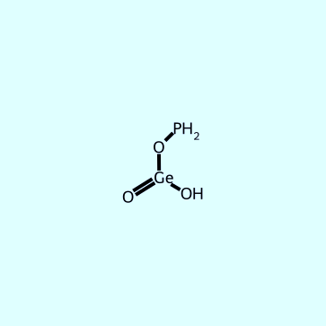 [O]=[Ge]([OH])[O]P